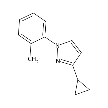 [CH2]c1ccccc1-n1ccc(C2CC2)n1